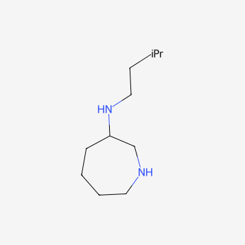 CC(C)CCNC1CCCCNC1